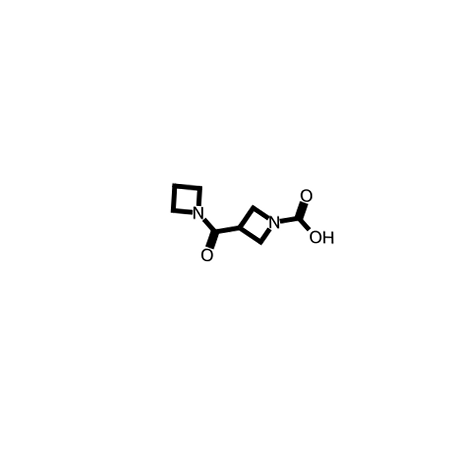 O=C(O)N1CC(C(=O)N2CCC2)C1